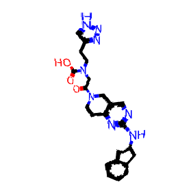 O=C(O)N(CCc1c[nH]nn1)CC(=O)N1CCc2nc(NC3Cc4ccccc4C3)ncc2C1